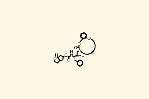 O=C(N[C@@H](Cc1ccccc1)[C@H](O)CN1CCC/C=C\CCCCOc2ccccc2COC1=O)O[C@@H]1CC2CCO[C@@H]2C1